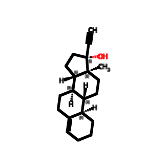 C#C[C@]1(O)CC[C@H]2[C@@H]3CCC4=CCCC[C@@H]4[C@H]3CC[C@@]21C